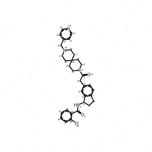 O=C(NC1CCc2ccc(CC(=O)N3CCC4(CCN(Cc5ccncc5)CC4)CC3)cc21)c1ccccc1Cl